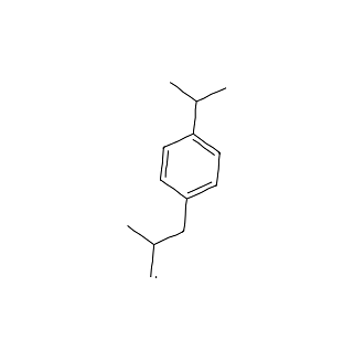 [CH2]C(C)Cc1ccc(C(C)C)cc1